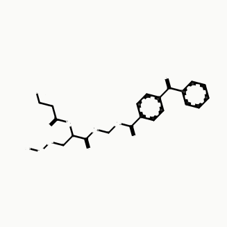 CC(C)(C)SSCC(NC(=O)CCC(=O)O)C(=O)NCNC(=O)c1ccc(C(=O)c2ccccc2)cc1